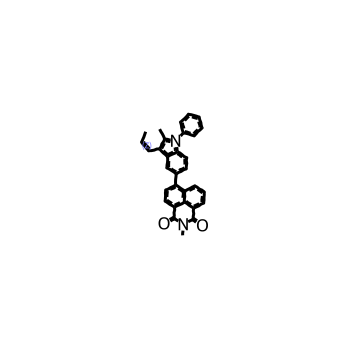 C/C=C\c1c(C)n(-c2ccccc2)c2ccc(-c3ccc4c5c(cccc35)C(=O)N(C)C4=O)cc12